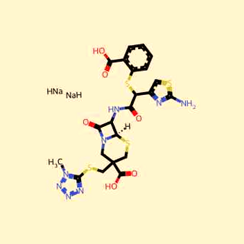 Cn1nnnc1SCC1(C(=O)O)CS[C@@H]2C(NC(=O)C(Sc3ccccc3C(=O)O)c3csc(N)n3)C(=O)N2C1.[NaH].[NaH]